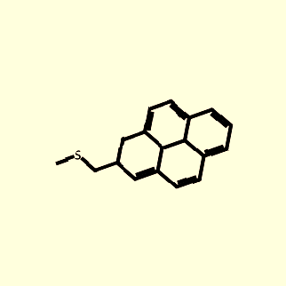 CSCC1C=C2C=CC3=CC=CC4=CC=C(C1)C2C34